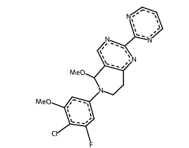 COc1cc(N2CCc3nc(-c4ncccn4)ncc3C2OC)cc(F)c1Cl